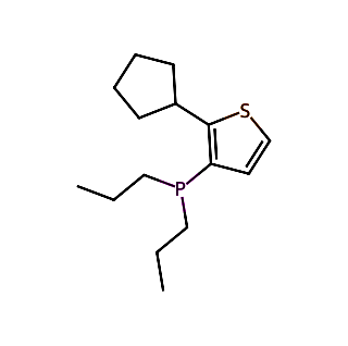 CCCP(CCC)c1ccsc1C1CCCC1